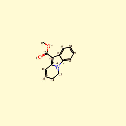 COC(=O)c1c2n(c3ccccc13)CCC=C2